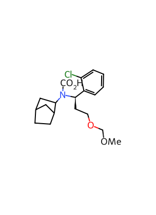 COCOCC[C@H](c1ccccc1Cl)N(C(=O)O)C1CC2CCC1C2